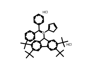 CC(C)(C)c1cc2c(cc1C(C)(C)C)[CH]([Zr]([C]1=CC=CC1)=[C](c1ccccc1)c1ccccc1)c1cc(C(C)(C)C)c(C(C)(C)C)cc1-2.Cl.Cl